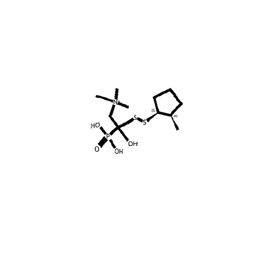 C[C@@H]1CCC[C@@H]1SSC(O)(C[N+](C)(C)C)P(=O)(O)O